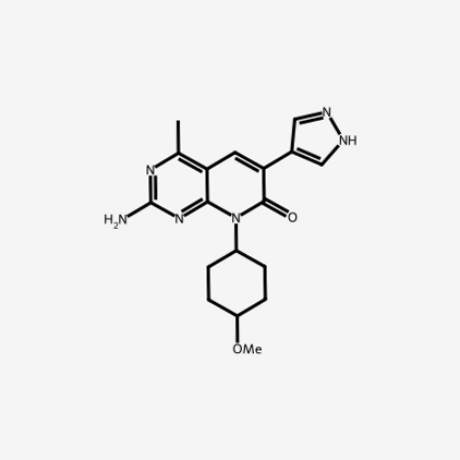 COC1CCC(n2c(=O)c(-c3cn[nH]c3)cc3c(C)nc(N)nc32)CC1